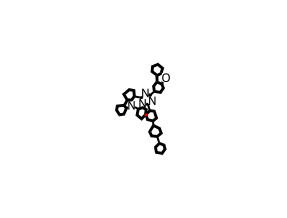 c1ccc(-c2ccc(-c3ccc(-c4nc(-c5ccc6oc7ccccc7c6c5)nc(-c5cccc6c7ccccc7n(-c7ccccc7)c56)n4)cc3)cc2)cc1